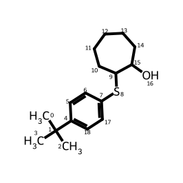 CC(C)(C)c1ccc(SC2CCCCCC2O)cc1